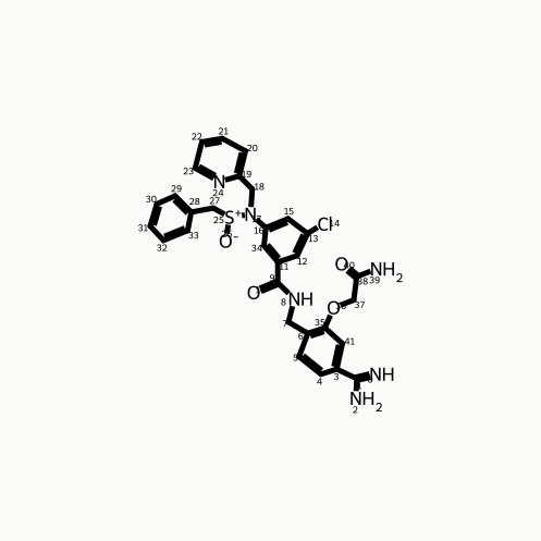 N=C(N)c1ccc(CNC(=O)c2cc(Cl)cc(N(Cc3ccccn3)[S+]([O-])Cc3ccccc3)c2)c(OCC(N)=O)c1